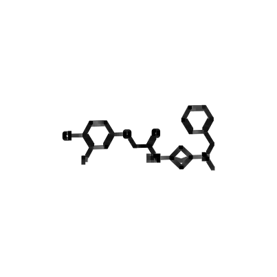 CN(Cc1ccccc1)C12CC(NC(=O)COc3ccc(Cl)c(F)c3)(C1)C2